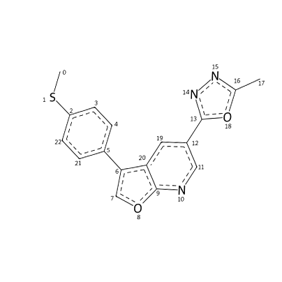 CSc1ccc(-c2coc3ncc(-c4nnc(C)o4)cc23)cc1